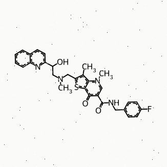 Cc1c(CN(C)CC(O)c2ccc3ccccc3n2)sc2c(=O)c(C(=O)NCc3ccc(F)cc3)cn(C)c12